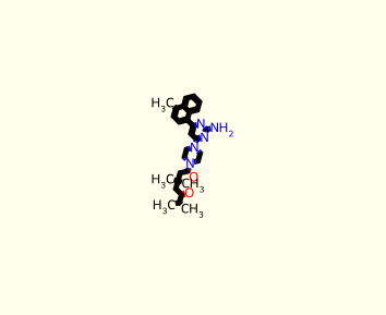 Cc1ccc(-c2cc(N3CCN(C(=O)CC(C)(C)CC(=O)C(C)C)CC3)nc(N)n2)c2ccccc12